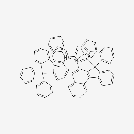 c1ccc(N(c2ccc3c(c2)C2(c4ccccc4-3)c3ccccc3-c3c2c(N(c2ccccc2)c2ccccc2)cc2ccccc32)c2cccc3c2-c2ccccc2C3(c2ccccc2)c2ccccc2)cc1